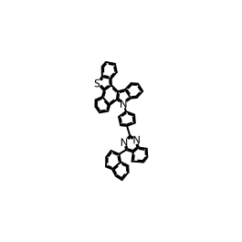 c1ccc2c(-c3nc(-c4ccc(-n5c6ccccc6c6c7c8ccccc8sc7c7ccccc7c65)cc4)nc4ccccc34)cccc2c1